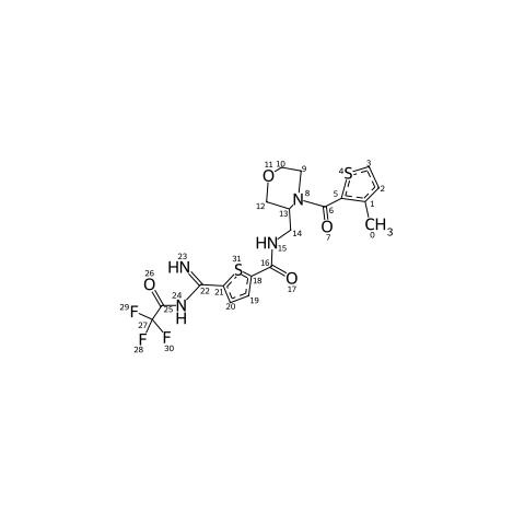 Cc1ccsc1C(=O)N1CCOCC1CNC(=O)c1ccc(C(=N)NC(=O)C(F)(F)F)s1